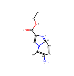 CCOC(=O)c1cn2c(C)c(N)ccc2n1